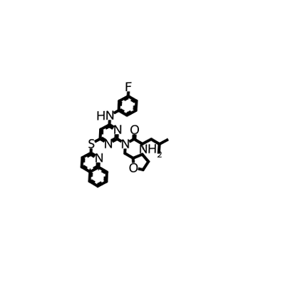 CC(C)C[C@H](N)C(=O)N(CC1CCCO1)c1nc(Nc2cccc(F)c2)cc(Sc2ccc3ccccc3n2)n1